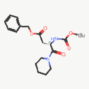 CC(C)(C)OC(=O)N[C@@H](CC(=O)OCc1ccccc1)C(=O)N1CCCCC1